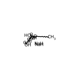 CCCCCCCCCCCCOC(=O)CC(O)(CC(=O)OC(=O)CCC(=O)O)C(=O)O.[NaH].[NaH]